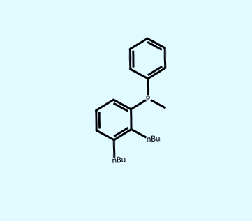 CCCCc1cccc(P(C)c2ccccc2)c1CCCC